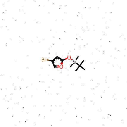 CC(C)(C)[Si](C)(C)Oc1cc(Br)co1